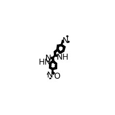 CN(C)Cc1ccc2[nH]c(-c3n[nH]c4cc(C(=O)N(C)C)ccc34)cc2c1